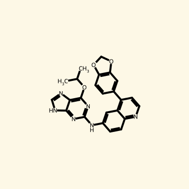 CC(C)Oc1nc(Nc2ccc3nccc(-c4ccc5c(c4)OCO5)c3c2)nc2[nH]cnc12